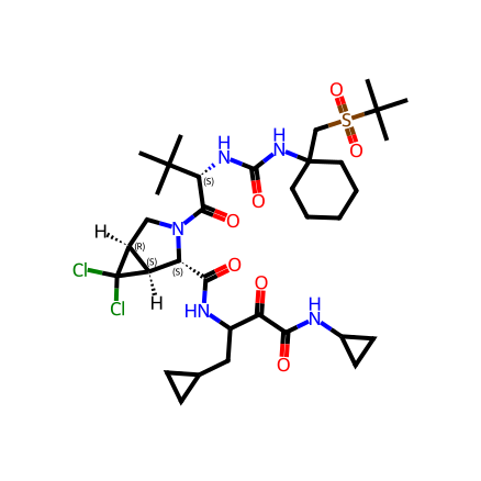 CC(C)(C)[C@H](NC(=O)NC1(CS(=O)(=O)C(C)(C)C)CCCCC1)C(=O)N1C[C@H]2[C@@H]([C@H]1C(=O)NC(CC1CC1)C(=O)C(=O)NC1CC1)C2(Cl)Cl